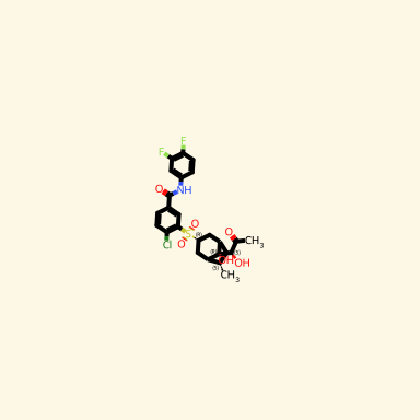 CC(=O)[C@@H](O)[C@@]1(O)C2C[C@@H](S(=O)(=O)c3cc(C(=O)Nc4ccc(F)c(F)c4)ccc3Cl)CC1[C@@H](C)C2